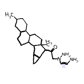 CC1CCC2C(CCC3C2CCC2(C)C(C(=O)CN(N)/C=C\N)C4CC4C32)C1